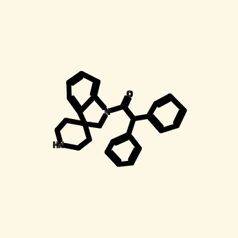 O=C(C(c1ccccc1)c1ccccc1)N1CC2(CCNCC2)c2ccccc21